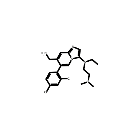 CCN(CCN(C)C)c1cnc2cc(CN)c(-c3ccc(Cl)cc3Cl)cn12